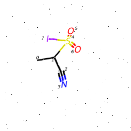 CC(C#N)S(=O)(=O)I